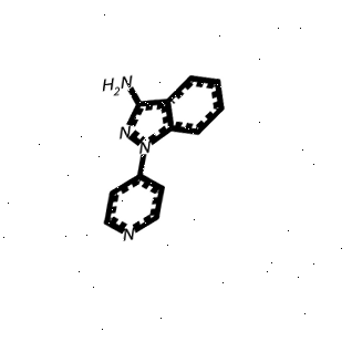 Nc1nn(-c2ccncc2)c2ccccc12